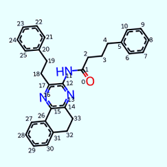 O=C(CCCc1ccccc1)Nc1nc2c(nc1CCc1ccccc1)-c1ccccc1CC2